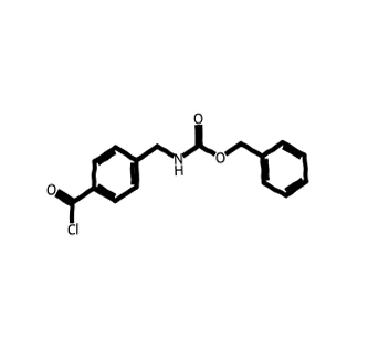 O=C(NCc1ccc(C(=O)Cl)cc1)OCc1ccccc1